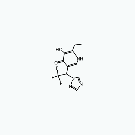 CCc1[nH]cc(C(n2cncn2)C(F)(F)F)c(=O)c1O